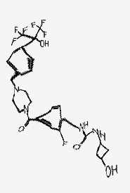 O=C(Nc1ccc(C(=O)N2CCN(Cc3ccc(C(O)(C(F)(F)F)C(F)(F)F)cc3)CC2)cc1F)NC1CC(O)C1